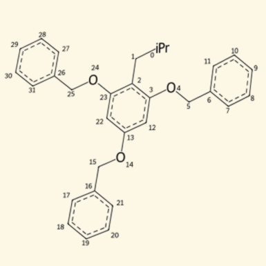 [CH2]C(C)Cc1c(OCc2ccccc2)cc(OCc2ccccc2)cc1OCc1ccccc1